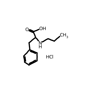 CCCNC(Cc1ccccc1)C(=O)O.Cl